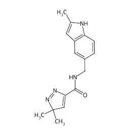 Cc1cc2cc(CNC(=O)C3=CC(C)(C)N=N3)ccc2[nH]1